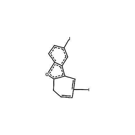 IC1=Cc2c(oc3ccc(I)cc23)CC=C1